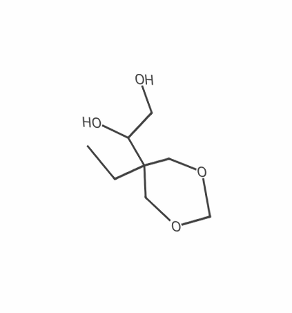 CCC1(C(O)CO)COCOC1